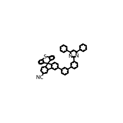 N#Cc1ccc2c(c1)-c1cc(-c3cccc(-c4cccc(-c5nc(-c6ccccc6)cc(-c6ccccc6)n5)c4)c3)ccc1C21c2ccccc2Sc2ccccc21